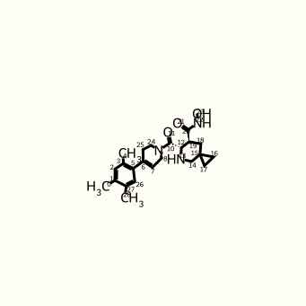 Cc1cc(C)c(C2=CCN(C(=O)[C@H]3NCC4(CC4)C[C@@H]3C(=O)NO)CC2)cc1C